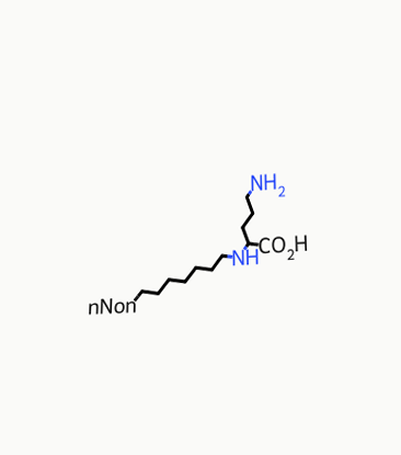 CCCCCCCCCCCCCCCCNC(CCCN)C(=O)O